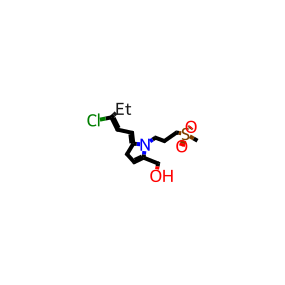 CC/C(Cl)=C\C=C1/CC=C(CO)N1CCCS(C)(=O)=O